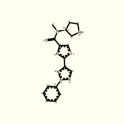 CN(C(=O)c1csc(-c2cnn(-c3ccccc3)n2)n1)[C@H]1CCNC1